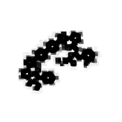 CCN(CC)[C@@H](C(=O)N1CCC[C@H]1c1ncc(-c2ccc(-c3ccc(-c4cnc([C@@H]5CCCN5C(=O)C[C@@H](Cc5ccccc5F)OC(N)=O)[nH]4)cc3)cc2)[nH]1)c1ccccc1